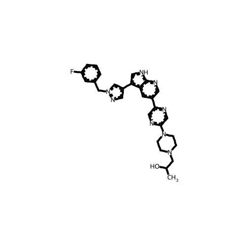 CC(O)CN1CCN(c2cnc(-c3cnc4[nH]cc(-c5cnn(Cc6cccc(F)c6)c5)c4c3)cn2)CC1